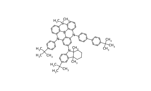 CC(C)(C)c1ccc(-c2ccc(N3c4cc(N5c6ccc(C(C)(C)C)cc6C6(C)CCCCC56C)cc5c4B4c6c3cccc6[Si](C)(C)c3cccc(c34)N5c3ccc(C(C)(C)C)cc3)cc2)cc1